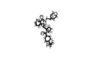 O=C(NCCN1CCOCC1)c1ncccc1OCC1CCCN1C(=O)C1CCC(C(F)(F)F)CC1